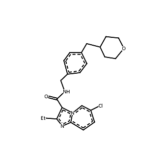 CCc1nc2ccc(Cl)cn2c1C(=O)NCc1ccc(CC2CCOCC2)cc1